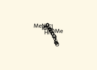 CNC(=O)c1ccccc1Nc1nc(Nc2cc3c(cc2OC)CCN(CCN2CCOCC2)CC3)ncc1Cl